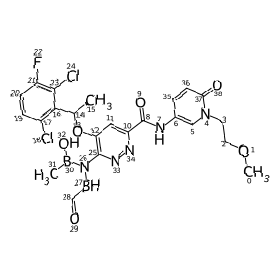 COCCn1cc(NC(=O)c2cc(OC(C)c3c(Cl)ccc(F)c3Cl)c(N(BC=O)B(C)O)nn2)ccc1=O